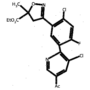 CCOC(=O)C1(C)CC(c2cc(-c3ncc(C(C)=O)cc3Cl)c(F)cc2Cl)=NO1